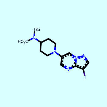 CC(C)(C)N(C(=O)O)C1CCN(c2cnc3c(I)cnn3c2)CC1